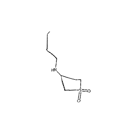 CCCNC1CS(=O)(=O)C1